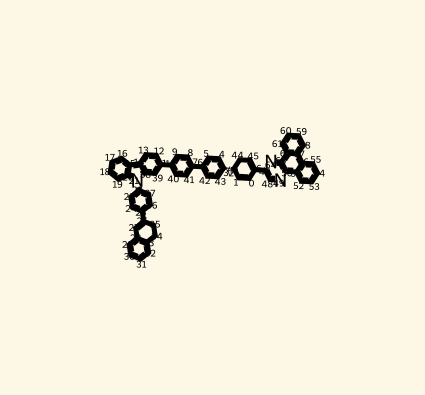 C1=C[C@H](c2ccc(-c3ccc(-c4ccc5c6ccccc6n(-c6ccc(C7=Cc8ccccc8CC7)cc6)c5c4)cc3)cc2)CC=C1c1cnc2c3ccccc3c3ccccc3c2n1